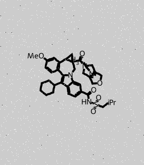 COc1ccc2c(c1)C1CC1(C(=O)N1CC34COCC3(CN(C)C4)C1)Cn1c-2c(C2CCCCC2)c2ccc(C(=O)NS(=O)(=O)CC(C)C)cc21